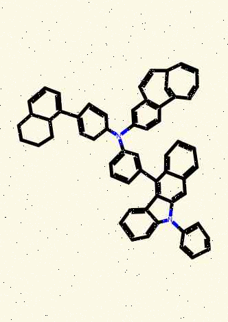 C1=CC2=CC(C=C1)C=Cc1cc(N(c3cccc(-c4c5ccccc5cc5c4c4ccccc4n5-c4ccccc4)c3)C3C=CC(C4=CC=CC5CCCCC45)=CC3)ccc12